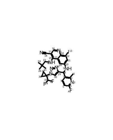 Cc1nc(F)ccc1C(Nc1cc(I)c2ncc(C#N)c(NCC(C)(C)C)c2c1)c1cn(C2(C(F)F)CC2)nn1